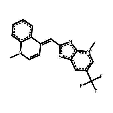 CN1C=C/C(=C\c2nc3c(cc(C(F)(F)F)c[n+]3C)s2)c2ccccc21